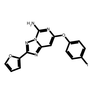 Nc1nc(Oc2ccc(I)cc2)cc2nc(-c3ccco3)nn12